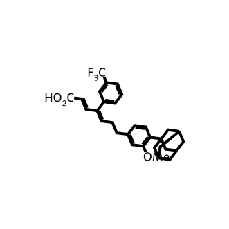 COc1cc(CC/C=C(/C=C/C(=O)O)c2cccc(C(F)(F)F)c2)ccc1C12CC3CC(CC(C3)C1)C2